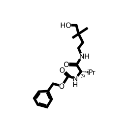 CC(C)[C@H](NC(=O)OCc1ccccc1)C(=O)NCCC(C)(C)CO